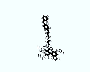 CCOC(=O)C1=C(C)NC(C)=C(C(=O)OCCCOCC=Cc2ccc(Cc3cccnc3)cc2)C1c1cccc([N+](=O)[O-])c1